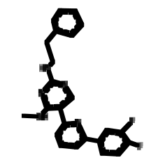 CNc1nc(NCCc2ccccc2)ncc1-c1cccc(-c2ccc(F)c(F)c2)n1